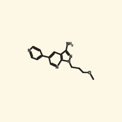 COCCCn1nc(N)c2cc(-c3ccncc3)cnc21